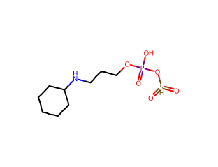 O=[SH](=O)OP(=O)(O)OCCCNC1CCCCC1